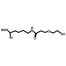 CNC(CCCCNC(=O)CCOCCS)C(C)=O